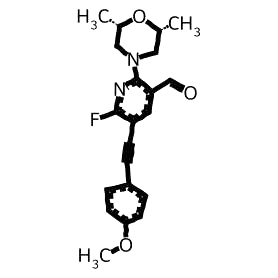 COc1ccc(C#Cc2cc(C=O)c(N3C[C@@H](C)O[C@@H](C)C3)nc2F)cc1